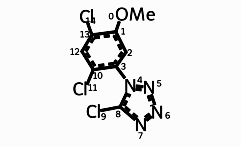 COc1cc(-n2nnnc2Cl)c(Cl)cc1Cl